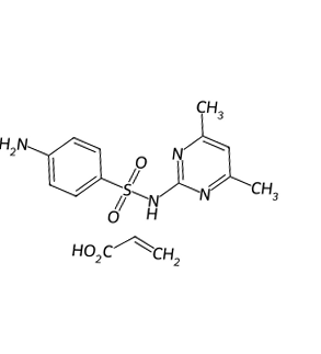 C=CC(=O)O.Cc1cc(C)nc(NS(=O)(=O)c2ccc(N)cc2)n1